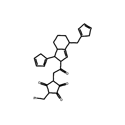 CC(C)CC1C(=O)C(=O)C(CC(=O)C2C=C3C(CC4=CC=CC4)CCCC3C2C2=CC=CC2)C1=O